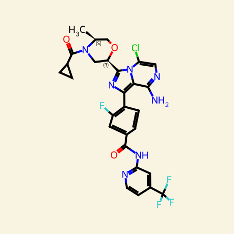 C[C@H]1CO[C@@H](c2nc(-c3ccc(C(=O)Nc4cc(C(F)(F)F)ccn4)cc3F)c3c(N)ncc(Cl)n23)CN1C(=O)C1CC1